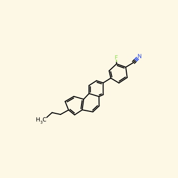 CCCc1ccc2c(ccc3cc(-c4ccc(C#N)c(F)c4)ccc32)c1